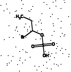 CCC(Br)OS(=O)(=O)O